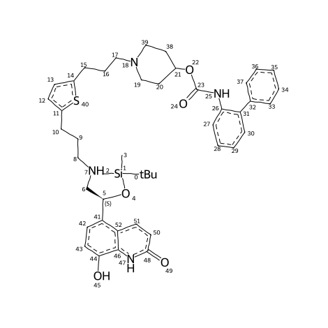 CC(C)(C)[Si](C)(C)O[C@H](CNCCCc1ccc(CCCN2CCC(OC(=O)Nc3ccccc3-c3ccccc3)CC2)s1)c1ccc(O)c2[nH]c(=O)ccc12